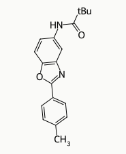 Cc1ccc(-c2nc3cc(NC(=O)C(C)(C)C)ccc3o2)cc1